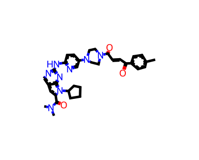 Cc1ccc(C(=O)/C=C/C(=O)N2CCN(c3ccc(Nc4ncc5cc(C(=O)N(C)C)n(C6CCCC6)c5n4)nc3)CC2)cc1